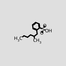 CCCCC(C)Cc1ccccc1S(=O)(=O)O